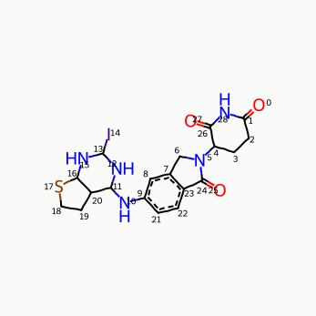 O=C1CCC(N2Cc3cc(NC4NC(I)NC5SCCC45)ccc3C2=O)C(=O)N1